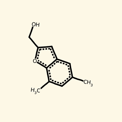 Cc1cc(C)c2oc(CO)cc2c1